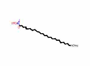 CCCCCCCCCCCCCCCCCCCCCCCCCCCCCCCCCCC(=O)N(O)I